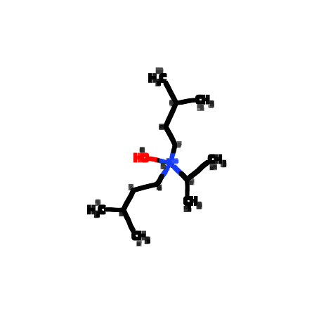 CC(C)CC[N+](O)(CCC(C)C)C(C)C